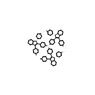 Cc1ccc(C2=C(c3ccc(N(c4ccc(C5=C(c6ccc(C)cc6)c6ccccc6[C@H]5c5ccc(C)cc5)cc4)c4ccc(C5=C(c6ccc(C)cc6)c6ccccc6[C@H]5c5ccc(C)cc5)cc4)cc3)[C@H](c3ccc(C)cc3)c3ccccc32)cc1